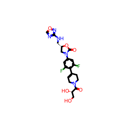 O=C([C@@H](O)CO)N1CC=C(c2c(F)cc(N3C[C@H](CNc4ncon4)OC3=O)cc2F)CC1